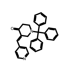 O=C1CCN(C(c2ccccc2)(c2ccccc2)c2ccccc2)C/C1=C\c1ccncc1